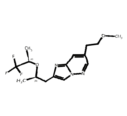 COCCc1cnn2cc(C[C@@H](C)O[C@H](C)C(F)(F)F)nc2c1